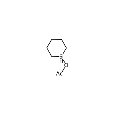 CC(=O)O[SiH]1CCCCC1